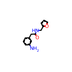 Nc1cccc(CC(=O)NCc2ccco2)c1